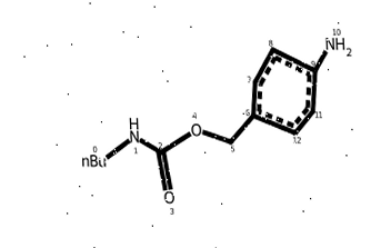 CCCCNC(=O)OCc1ccc(N)cc1